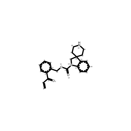 C=CC(=O)c1ccccc1COC(=O)N1CC2(CCNCC2)c2ccccc21